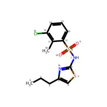 CCCc1csc(NS(=O)(=O)c2cccc(Cl)c2C)n1